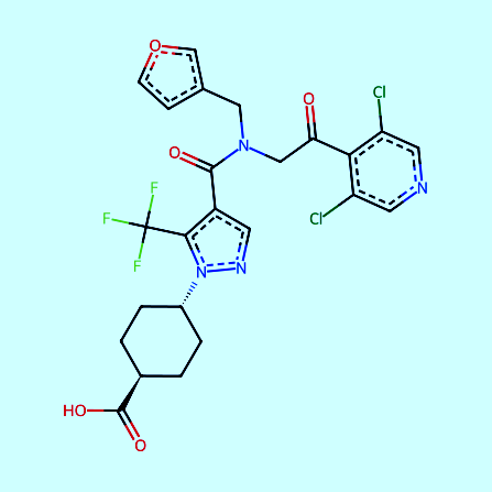 O=C(CN(Cc1ccoc1)C(=O)c1cnn([C@H]2CC[C@H](C(=O)O)CC2)c1C(F)(F)F)c1c(Cl)cncc1Cl